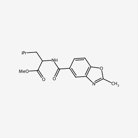 COC(=O)C(CC(C)C)NC(=O)c1ccc2oc(C)nc2c1